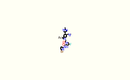 CC(=O)c1cn(CC(=O)N2C[C@H](F)C[C@H]2C(=O)Nc2cccc(Br)n2)c2cc(CN(C)C)c(-c3cnc(C)nc3)cc12